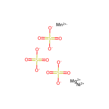 O=S(=O)([O-])[O-].O=S(=O)([O-])[O-].O=S(=O)([O-])[O-].[Mg+2].[Mn+2].[Ni+2]